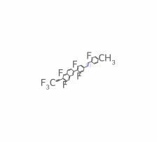 Cc1ccc(/C=C/c2cc(F)c(-c3ccc4c(F)c(C#CC(F)(F)F)c(F)cc4c3)c(F)c2)c(F)c1